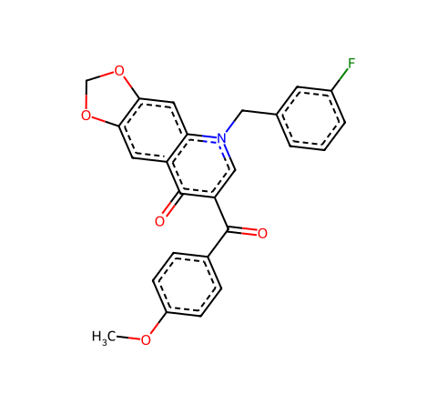 COc1ccc(C(=O)c2cn(Cc3cccc(F)c3)c3cc4c(cc3c2=O)OCO4)cc1